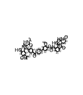 CCNC(=O)c1nnc(-c2cc(C(C)C)c(O)cc2O)n1-c1ccc(C(=O)N2CCN(c3ccc(OC(=O)Nc4cccc5c4C(=O)N(C4CCC(=O)NC4=O)C5=O)c(OC)c3)CC2)cc1